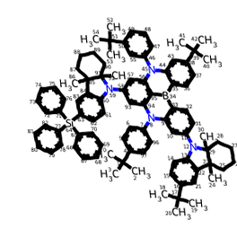 CC(C)(C)c1ccc(N2c3cc(N4c5ccc(C(C)(C)C)cc5C5(C)CCCCC45C)ccc3B3c4ccc(C(C)(C)C)cc4N(c4cccc(C(C)(C)C)c4)c4cc(N5c6ccc([Si](c7ccccc7)(c7ccccc7)c7ccccc7)cc6C6(C)CCCCC56C)cc2c43)cc1